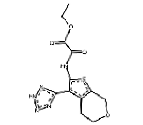 CCOC(=O)C(=O)Nc1sc2c(c1-c1nn[nH]n1)CCOC2